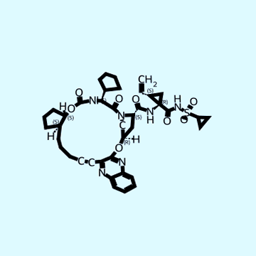 C=C[C@@H]1C[C@]1(NC(=O)[C@@H]1C[C@@H]2CN1C(=O)[C@H](C1CCCC1)NC(=O)O[C@H]1CCC[C@@H]1CCCCCc1nc3ccccc3nc1O2)C(=O)NS(=O)(=O)C1CC1